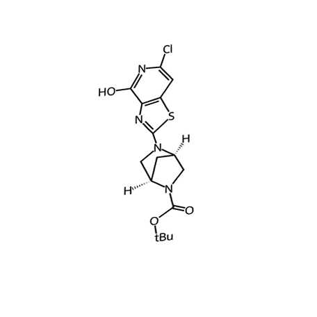 CC(C)(C)OC(=O)N1C[C@H]2C[C@@H]1CN2c1nc2c(O)nc(Cl)cc2s1